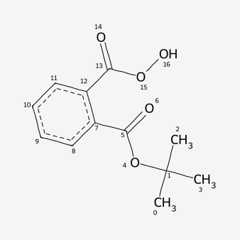 CC(C)(C)OC(=O)c1ccccc1C(=O)OO